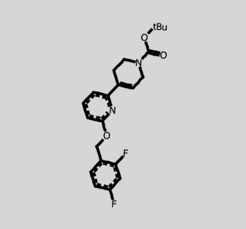 CC(C)(C)OC(=O)N1CC=C(c2cccc(OCc3ccc(F)cc3F)n2)CC1